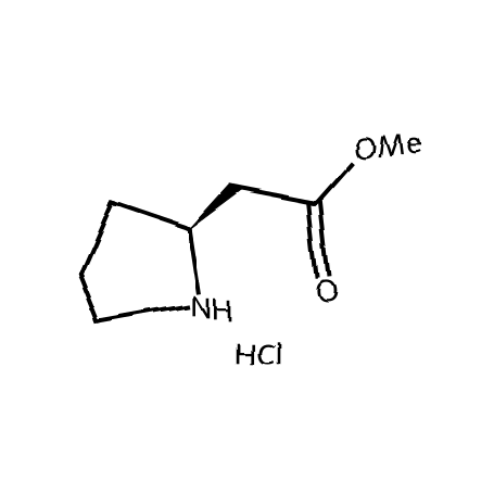 COC(=O)C[C@@H]1CCCN1.Cl